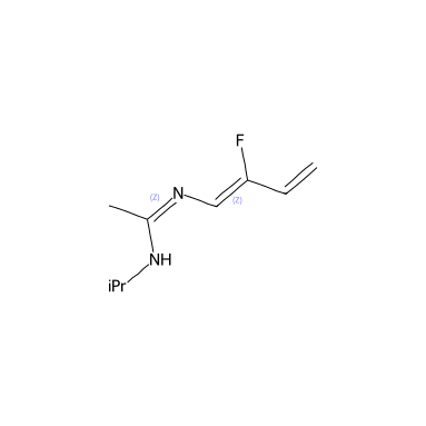 C=C/C(F)=C/N=C(/C)NC(C)C